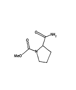 COC(=O)N1CCCC1C(N)=O